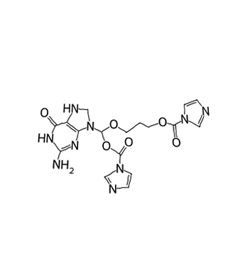 Nc1nc2c(c(=O)[nH]1)NCN2C(OCCCOC(=O)n1ccnc1)OC(=O)n1ccnc1